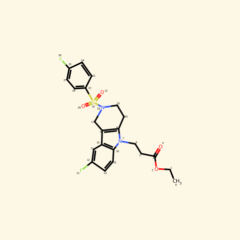 CCOC(=O)CCn1c2c(c3cc(F)ccc31)CN(S(=O)(=O)c1ccc(F)cc1)CC2